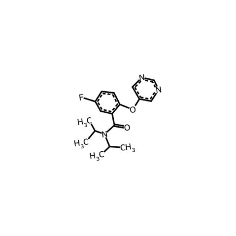 CC(C)N(C(=O)c1cc(F)ccc1Oc1cncnc1)C(C)C